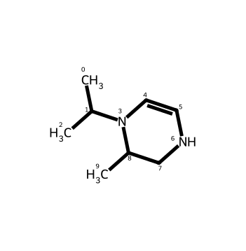 CC(C)N1C=CNCC1C